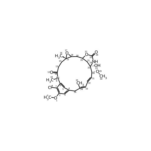 COc1cc2cc(c1Cl)N(C)C(=O)CC[C@]1(C)OC1CC1C[C@@](O)(NC(=O)O1)[C@H](OC)/C=C/C=C(\C)C2